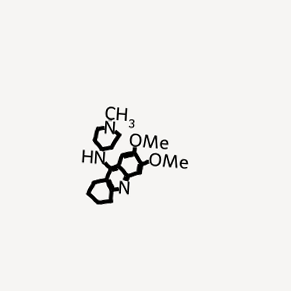 COc1cc2nc3c(c(NC4CCN(C)CC4)c2cc1OC)CCCC3